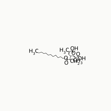 C=C(C(=O)OCCCCCCCCCCCC)C(C=C(C)C(=O)O)C=C(C)C(=O)O